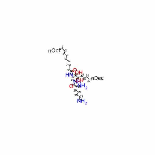 CCCCCCCC/C=C\CCCCCCCC(=O)N[C@@H](CNC(=O)C(N)CCCCN)[C@H](O)[C@H](O)CCCCCCCCCCCCCC